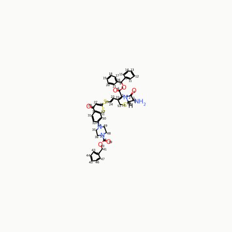 N[C@@H]1C(=O)N2C(C(=O)OC(c3ccccc3)c3ccccc3)=C(C=CSc3cc(=O)c4ccc(N5CCN(C(=O)OCc6ccccc6)CC5)cc4s3)CS[C@@H]12